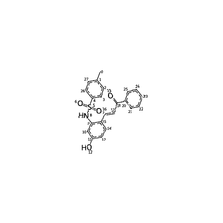 Cc1ccc(S(=O)(=O)Nc2cc(O)ccc2C=CC(=O)c2ccccc2)cc1